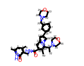 Cc1cc(C)c(CNC(=O)c2cc3cc(-c4cccc(CN5CCOCC5)c4)cn3c(C(C)N3CCOCC3)c2C)c(=O)[nH]1